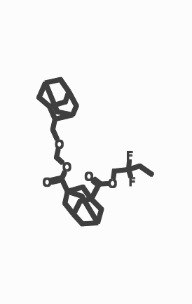 CCC(F)(F)COC(=O)C12CC3CC(CC(C(=O)OCOCC4C5CC6CC(C5)CC4C6)(C3)C1)C2